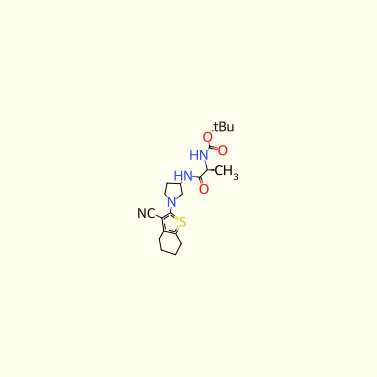 C[C@H](NC(=O)OC(C)(C)C)C(=O)N[C@H]1CCN(c2sc3c(c2C#N)CCCC3)C1